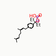 CCC(CC)(O[PH](=O)O)c1ccc(CC=C(C)CCC=C(C)C)cc1